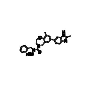 CCCCN(Cc1ccccc1)C(=O)N1CCOc2c(C)cc(-c3ccc4nc(C)[nH]c4c3)cc2C1